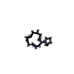 CC1/C=N/C(c2ccco2)C/C=C/CC/C=C/C1